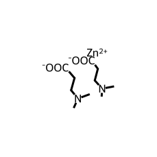 CN(C)CCC(=O)[O-].CN(C)CCC(=O)[O-].[Zn+2]